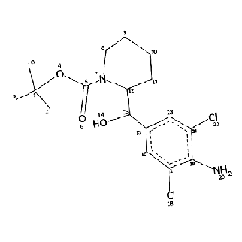 CC(C)(C)OC(=O)N1CCCCC1C(O)c1cc(Cl)c(N)c(Cl)c1